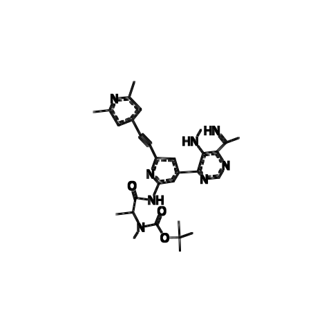 CNc1c(C(C)=N)ncnc1-c1cc(C#Cc2cc(C)nc(C)c2)nc(NC(=O)C(C)N(C)C(=O)OC(C)(C)C)c1